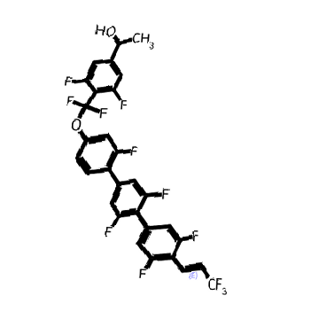 CC(O)c1cc(F)c(C(F)(F)Oc2ccc(-c3cc(F)c(-c4cc(F)c(/C=C/C(F)(F)F)c(F)c4)c(F)c3)c(F)c2)c(F)c1